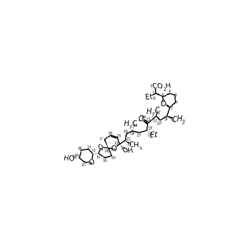 CCC(C(=O)O)C1CCCC([C@@H](C)C[C@H](C)C(=O)[C@H](CC)C[C@@H](C)C[C@@H](C)[C@]2(O)C=CC[C@]3(CCC([C@H]4CC[C@@H](O)CO4)O3)O2)O1